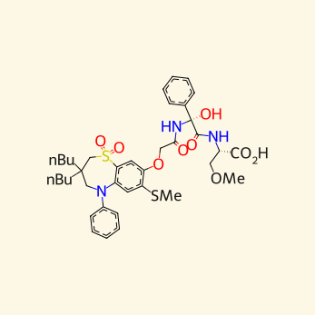 CCCCC1(CCCC)CN(c2ccccc2)c2cc(SC)c(OCC(=O)N[C@](O)(C(=O)N[C@@H](COC)C(=O)O)c3ccccc3)cc2S(=O)(=O)C1